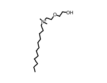 CCCCCCCCCCCC[N+](C)(C)CCOCCO